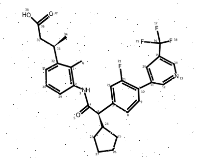 Cc1c(NC(=O)[C@@H](c2ccc(-c3cncc(C(F)(F)F)c3)c(F)c2)C2CCCC2)cccc1[C@H](C)CC(=O)O